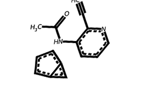 C#Cc1ncccc1NC(C)=O.c1cc2cc-2c1